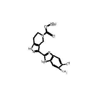 Cc1cc2[nH]c(-c3n[nH]c4c3CN(C(=O)OC(C)(C)C)CC4)nc2cc1Cl